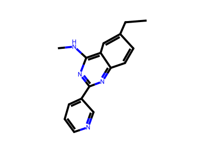 CCc1ccc2nc(-c3cccnc3)nc(NC)c2c1